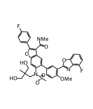 CNC(=O)c1c(-c2ccc(F)cc2)oc2cc(N(CC(C)(CO)CO)S(C)(=O)=O)c(-c3ccc(OC)c(-c4nc5c(F)cccc5o4)c3)cc12